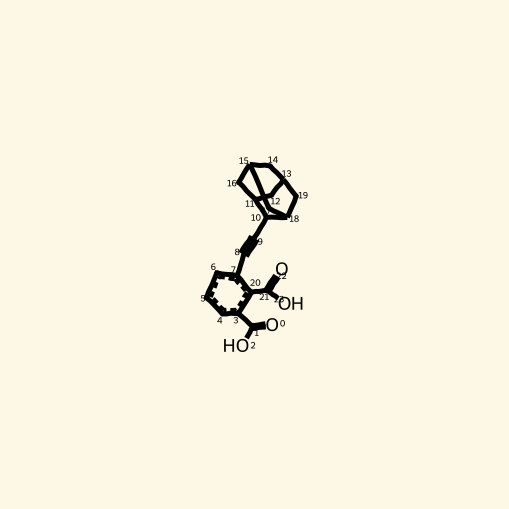 O=C(O)c1cccc(C#CC2C3CC4CC(C3)CC2C4)c1C(=O)O